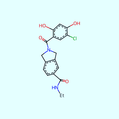 CCNC(=O)c1ccc2c(c1)CN(C(=O)c1cc(Cl)c(O)cc1O)C2